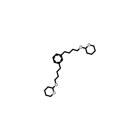 c1cc(CCCCOC2CCCCO2)cc(CCCCOC2CCCCO2)c1